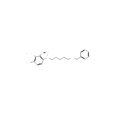 Cc1c(Br)ccc2c1nnn2CCCCCOCc1ccccc1